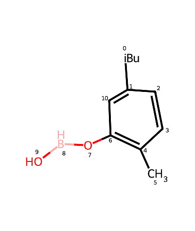 CCC(C)c1ccc(C)c(OBO)c1